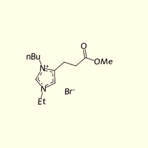 CCCC[n+]1cn(CC)cc1CCC(=O)OC.[Br-]